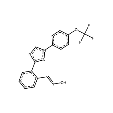 ON=Cc1ccccc1-c1ncn(-c2ccc(OC(F)(F)F)cc2)n1